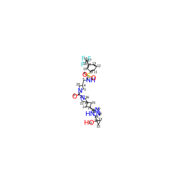 O=C(N1CC(CNS(=O)(=O)c2cccc(C(F)(F)F)c2)C1)N1CC2(CC(c3nnc(C4(O)CC4)[nH]3)C2)C1